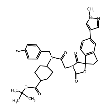 Cn1cc(-c2ccc3c(c2)CCC32OC(=O)N(CC(=O)N(Cc3ccc(F)cc3)C3CCC(C(=O)OC(C)(C)C)CC3)C2=O)cn1